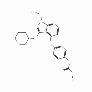 CCC(C)Pn1nc(N[C@@H]2CCCNC2)c2c(Oc3ccc(NC(=O)NC(C)C)cc3)ccnc21